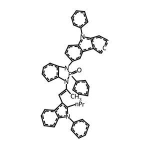 CCCc1c(/C=C(\C)N2c3ccccc3N(c3ccc4c(c3)c3ccccc3n4-c3ccccc3)P2(=O)c2ccccc2)c2ccccc2n1-c1ccccc1